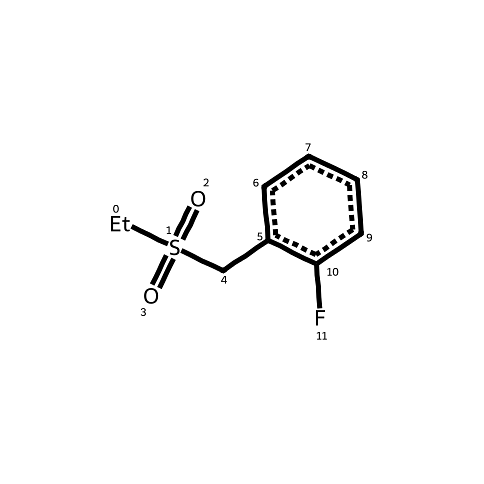 CCS(=O)(=O)Cc1ccccc1F